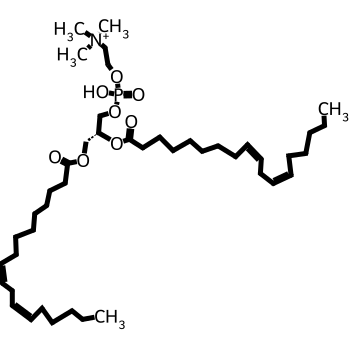 CCCCC/C=C\C/C=C\CCCCCCCC(=O)OC[C@H](COP(=O)(O)OCC[N+](C)(C)C)OC(=O)CCCCCCC/C=C\C/C=C\CCCCC